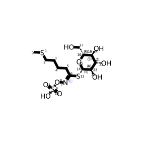 CSCCCC/C(=N\OS(=O)(=O)O)S[C@@H]1O[C@H](CO)[C@@H](O)[C@H](O)[C@H]1O